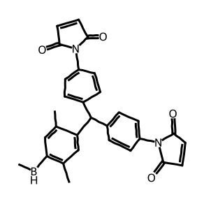 CBc1cc(C)c(C(c2ccc(N3C(=O)C=CC3=O)cc2)c2ccc(N3C(=O)C=CC3=O)cc2)cc1C